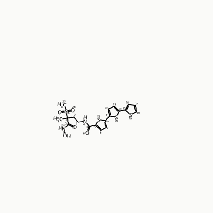 CC(CCNC(=O)c1ccc(-c2ccc(-c3cccs3)s2)s1)(C(=O)NO)S(C)(=O)=O